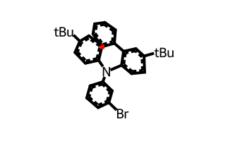 CC(C)(C)c1ccc(N(c2cccc(Br)c2)c2ccc(C(C)(C)C)cc2-c2ccccc2)cc1